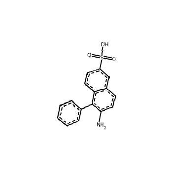 Nc1ccc2cc(S(=O)(=O)O)ccc2c1-c1ccccc1